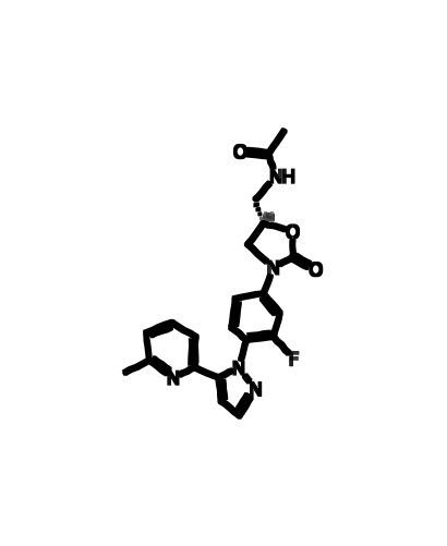 CC(=O)NC[C@H]1CN(c2ccc(-n3nccc3-c3cccc(C)n3)c(F)c2)C(=O)O1